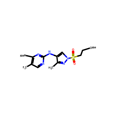 CNc1nc(Nc2cn(S(=O)(=O)CCOC)nc2C)ncc1C(F)(F)F